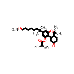 CCCC(CCC)C(=O)Oc1cc(C(C)(C)CCCCCCO[N+](=O)[O-])cc2c1C1CC(=O)CCC1C(C)(C)O2